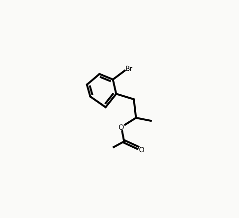 CC(=O)OC(C)Cc1ccccc1Br